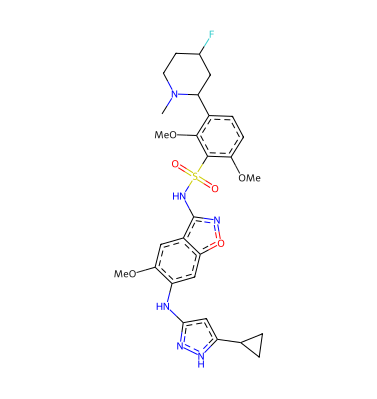 COc1cc2c(NS(=O)(=O)c3c(OC)ccc(C4CC(F)CCN4C)c3OC)noc2cc1Nc1cc(C2CC2)[nH]n1